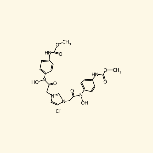 COC(=O)Nc1ccc(N(O)C(=O)Cn2cc[n+](CC(=O)N(O)c3ccc(NC(=O)OC)cc3)c2)cc1.[Cl-]